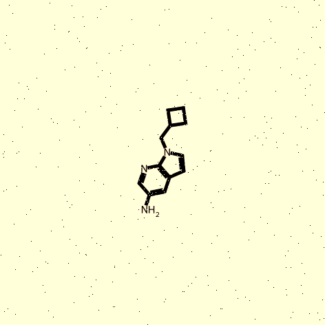 Nc1cnc2c(ccn2CC2CCC2)c1